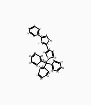 c1ccc(-c2coc(-c3ccn(C(c4ccccc4)(c4ccccc4)c4ccccc4)c3)n2)cc1